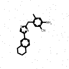 Cc1cc(N)c(C#N)cc1Cc1nc(-c2ccc3c(c2)CCCC3)cs1